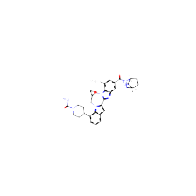 CCNC(=O)N1CCC(c2cccc3cc(-c4nc5cc(C(=O)N6C[C@H]7CC[C@@H]6[C@@H]7N)cc(OC)c5n4C)n(CC4CC4)c23)CC1